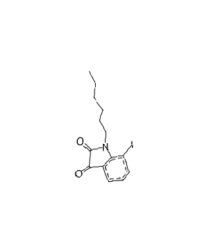 CCCCCCN1C(=O)C(=O)c2cccc(I)c21